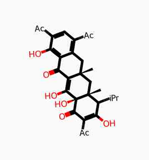 CC(=O)C1=C(O)C(C(C)C)[C@@]2(C)C[C@@]3(C)Cc4c(C(C)=O)cc(C(C)=O)c(O)c4C(=O)C3=C(O)[C@@]2(O)C1=O